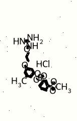 Cc1cc(OCCCONC(=N)N)cc(OS(=O)(=O)c2cccc(S(C)(=O)=O)c2)c1.Cl